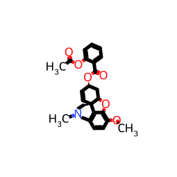 COc1ccc2c3c1OC1C[C@@H](OC(=O)c4ccccc4OC(C)=O)C=C[C@@]31CCN(C)C2